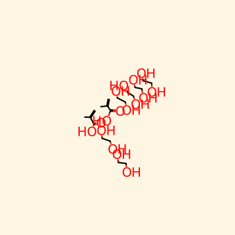 C=C(C)C(=O)O.C=C(C)C(=O)O.OCCO.OCCO.OCCO.OCCO.OCCO.OCCO